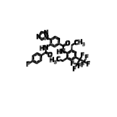 CCc1cc(C(F)(C(F)(F)F)C(F)(F)F)cc(CC)c1NC(=O)c1ccc(-n2cncn2)c(NC(=O)c2ccc(F)cc2)c1